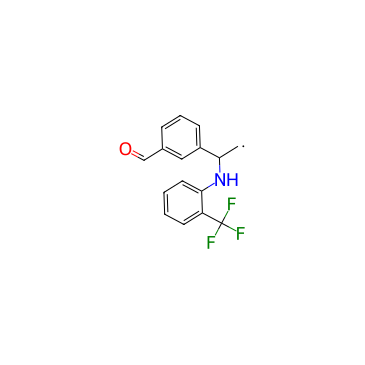 [CH2]C(Nc1ccccc1C(F)(F)F)c1cccc(C=O)c1